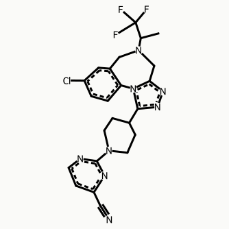 CC(N1Cc2cc(Cl)ccc2-n2c(nnc2C2CCN(c3nccc(C#N)n3)CC2)C1)C(F)(F)F